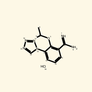 CC(C)Oc1c(C(=N)N)cccc1-n1cnnn1.Cl